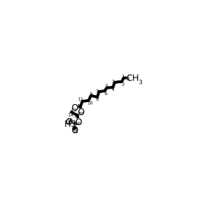 CCCCCCCCCCCCC1OCC(O[SH](=O)=O)O1